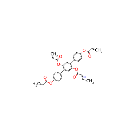 C=CC(=O)Oc1ccc(-c2cc(OC(=O)/C=C/C)c(-c3ccc(OC(=O)C=C)cc3)cc2OC(=O)C=C)cc1